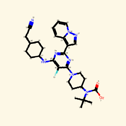 CC(C)(C)N(C(=O)O)C1CCN(c2nc(-c3cnn4ccccc34)nc(NC3CCC(CC#N)CC3)c2F)CC1